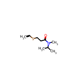 C=CSCCC(=O)N(C)C(C)C